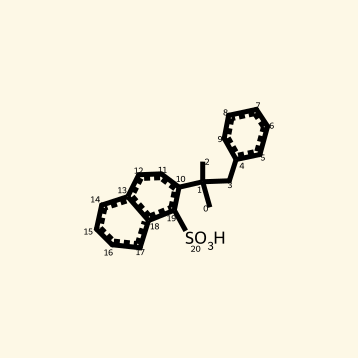 CC(C)(Cc1ccccc1)c1ccc2ccccc2c1S(=O)(=O)O